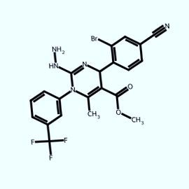 COC(=O)C1=C(C)N(c2cccc(C(F)(F)F)c2)C(NN)=NC1c1ccc(C#N)cc1Br